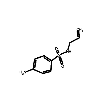 C=CCNS(=O)(=O)c1ccc(N)cc1